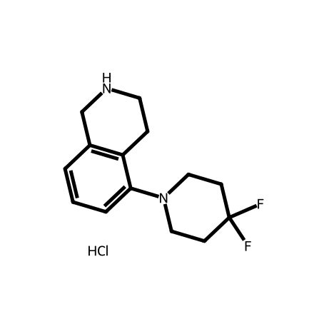 Cl.FC1(F)CCN(c2cccc3c2CCNC3)CC1